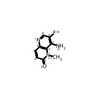 Cn1c(=O)ccc2ncc(F)c(N)c21